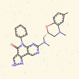 Cc1ccc2c(c1)N(C)C[C@H](CN(C)c1ncc3c4n[nH]cc4c(=O)n(-c4ccccc4)c3n1)O2